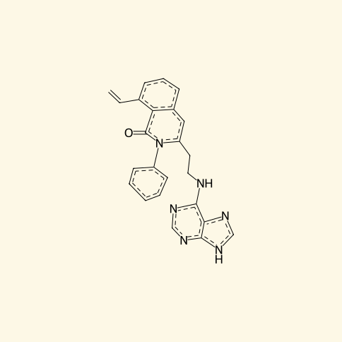 C=Cc1cccc2cc(CCNc3ncnc4[nH]cnc34)n(-c3ccccc3)c(=O)c12